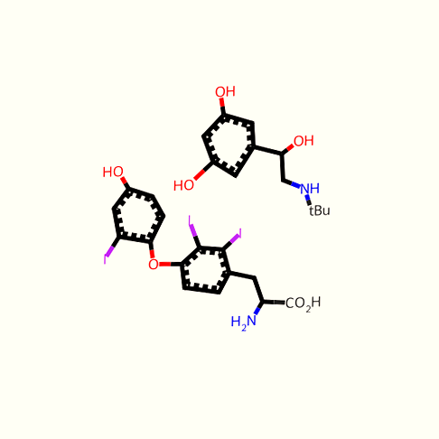 CC(C)(C)NCC(O)c1cc(O)cc(O)c1.NC(Cc1ccc(Oc2ccc(O)cc2I)c(I)c1I)C(=O)O